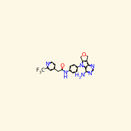 Nc1ncnc2c3c(n(-c4ccc(NC(=O)Cc5ccnc(C(F)(F)F)c5)cc4)c12)COC3